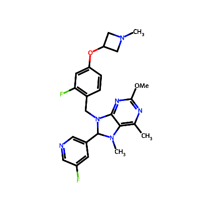 COc1nc(C)c2c(n1)N(Cc1ccc(OC3CN(C)C3)cc1F)C(c1cncc(F)c1)N2C